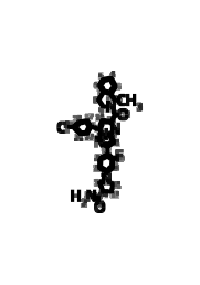 C[C@@H]1c2ccccc2CCN1C(=O)c1cc(-c2ccc(Cl)cc2)n2nc(-c3ccc(N4CC[C@H](C(N)=O)C4)cc3F)cc2n1